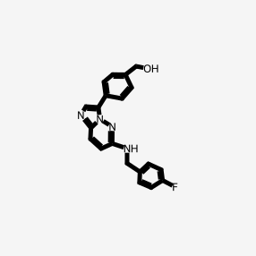 OCc1ccc(-c2cnc3ccc(NCc4ccc(F)cc4)nn23)cc1